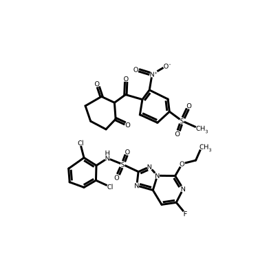 CCOc1nc(F)cc2nc(S(=O)(=O)Nc3c(Cl)cccc3Cl)nn12.CS(=O)(=O)c1ccc(C(=O)C2C(=O)CCCC2=O)c([N+](=O)[O-])c1